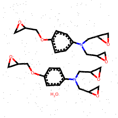 O.c1cc(N(CC2CO2)CC2CO2)ccc1OCC1CO1.c1cc(N(CC2CO2)CC2CO2)ccc1OCC1CO1